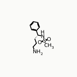 CS(=O)(=O)N[C@H](CCCN)c1ccccc1